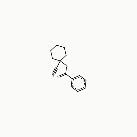 N#CC1(SC(=S)c2ccccc2)CCCCC1